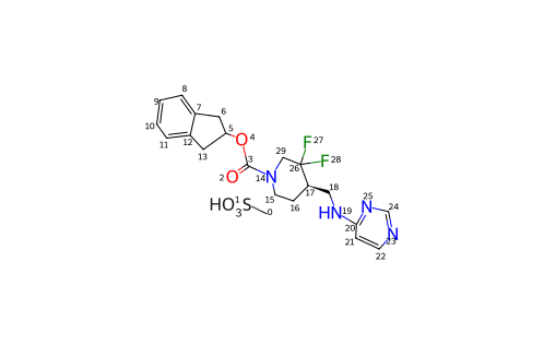 CS(=O)(=O)O.O=C(OC1Cc2ccccc2C1)N1CC[C@H](CNc2ccncn2)C(F)(F)C1